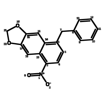 O=[N+]([O-])c1ccc(Cc2ccccc2)c2cc3c(cc12)OCO3